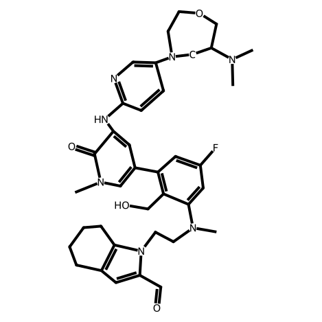 CN(CCn1c(C=O)cc2c1CCCC2)c1cc(F)cc(-c2cc(Nc3ccc(N4CCOCC(N(C)C)C4)cn3)c(=O)n(C)c2)c1CO